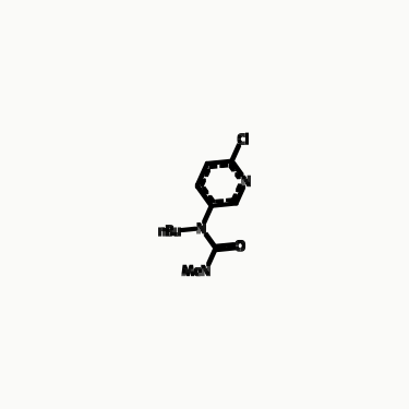 CCCCN(C(=O)NC)c1ccc(Cl)nc1